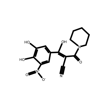 N#CC(C(=O)N1CCCCC1)=C(O)c1cc(O)c(O)c([N+](=O)[O-])c1